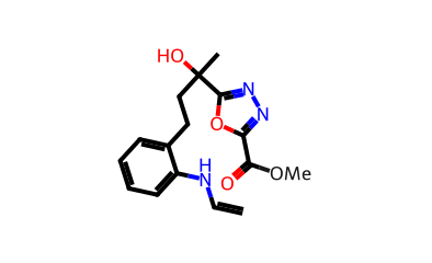 C=CNc1ccccc1CCC(C)(O)c1nnc(C(=O)OC)o1